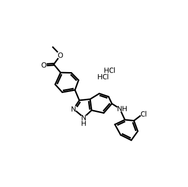 COC(=O)c1ccc(-c2n[nH]c3cc(Nc4ccccc4Cl)ccc23)cc1.Cl.Cl